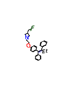 CC/C(=C(\c1ccccc1)c1ccc(OCCN2CC(CF)C2)cc1)c1ccccc1